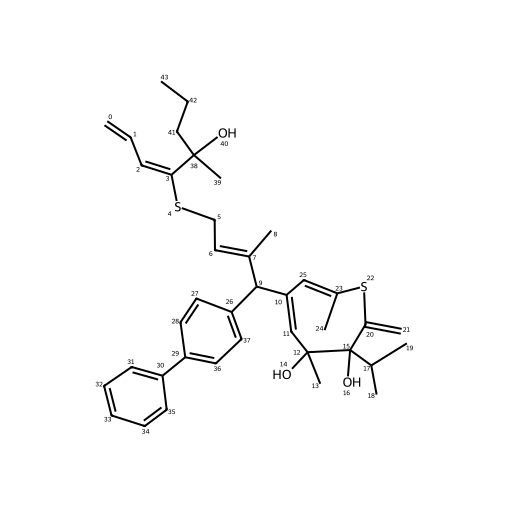 C=C/C=C(/SC/C=C(\C)C(C1=C/C(C)(O)C(O)(C(C)C)C(=C)S\C(C)=C\1)c1ccc(-c2ccccc2)cc1)C(C)(O)CCC